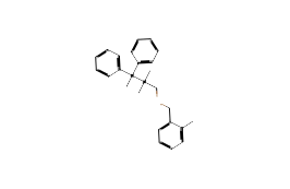 Cc1ccccc1CSCC(C)(C)C(C)(c1ccccc1)c1ccccc1